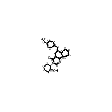 COc1ccc(Cc2cc3c(=O)n([C@H]4COCC[C@@H]4O)cnc3c3ccccc23)cn1